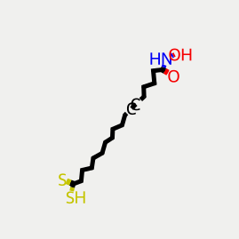 O=C(CCCCCCCCCCCCCCCCC(=S)S)NO